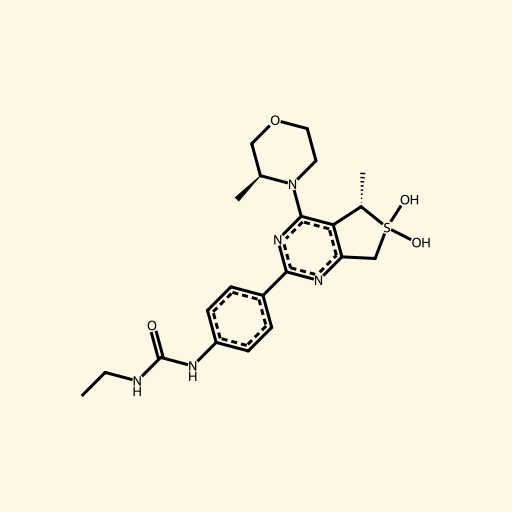 CCNC(=O)Nc1ccc(-c2nc3c(c(N4CCOC[C@@H]4C)n2)[C@H](C)S(O)(O)C3)cc1